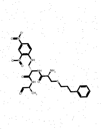 C[C@@H]([C]=O)NC(=O)[C@H](CNc1ccc([N+](=O)[O-])cc1[N+](=O)[O-])NC(=O)[C@@H](N)CSCCCc1ccccc1